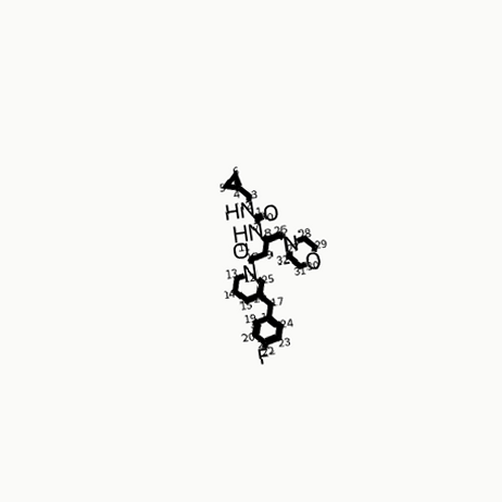 O=C(NCC1CC1)NC(CC(=O)N1CCCC(Cc2ccc(F)cc2)C1)CN1CCOCC1